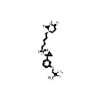 CC(C)(O)COc1cccc(C2(NS(=O)(=O)CCCCCN3CCC(=O)NC3=O)CC2)c1